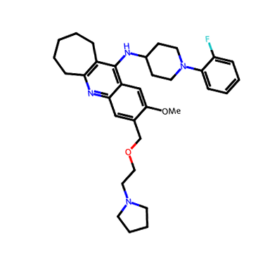 COc1cc2c(NC3CCN(c4ccccc4F)CC3)c3c(nc2cc1COCCN1CCCC1)CCCCC3